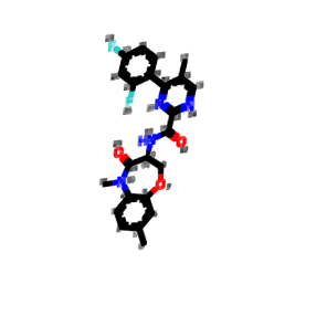 Cc1ccc2c(c1)OC[C@H](NC(=O)c1ncc(C)c(-c3ccc(F)cc3F)n1)C(=O)N2C